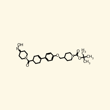 CC(C)(C)OC(=O)N1CCC(COc2ccc(C3=CCC(C(=O)N4CCC(=NO)CC4)CC3)cc2)CC1